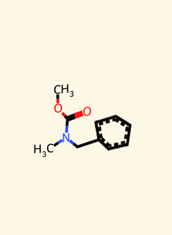 COC(=O)N(C)Cc1ccccc1